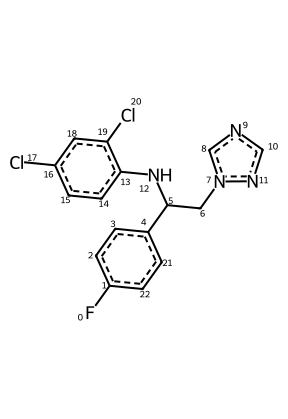 Fc1ccc(C(Cn2cncn2)Nc2ccc(Cl)cc2Cl)cc1